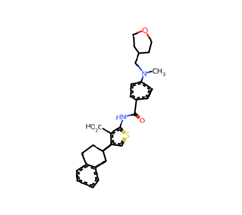 CN(CC1CCOCC1)c1ccc(C(=O)Nc2scc(C3CCc4ccccc4C3)c2C(=O)O)cc1